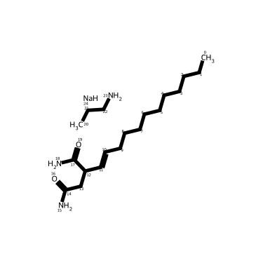 CCCCCCCCCCC=CC(CC(N)=O)C(N)=O.CCCN.[NaH]